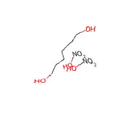 O=[N+]([O-])O.O=[N+]([O-])O.OCCCCCCO